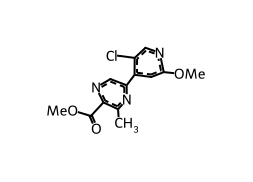 COC(=O)c1ncc(-c2cc(OC)ncc2Cl)nc1C